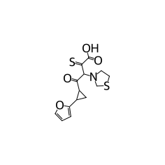 O=C(O)C(=S)C(C(=O)C1CC1c1ccco1)N1CCSC1